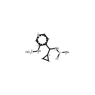 CC(C)(C)[S@@+]([O-])NC(c1ccncc1NC(=O)O)C1CC1